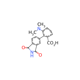 CN(C)c1cccc(C(=O)O)c1-c1ccc2c(c1)C(=O)NC2=O